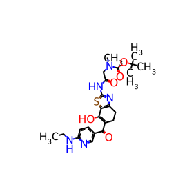 CCNc1ccc(C(=O)C2=C(O)c3sc(NC(=O)CN(C)C(=O)OC(C)(C)C)nc3CC2)cn1